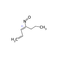 C=C/C=C(\CCC)N=O